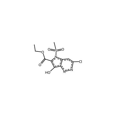 CCOC(=O)c1c(O)c2nnc(Cl)cc2n1S(C)(=O)=O